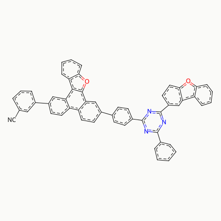 N#Cc1cccc(-c2ccc3c4ccc(-c5ccc(-c6nc(-c7ccccc7)nc(-c7ccc8oc9ccccc9c8c7)n6)cc5)cc4c4oc5ccccc5c4c3c2)c1